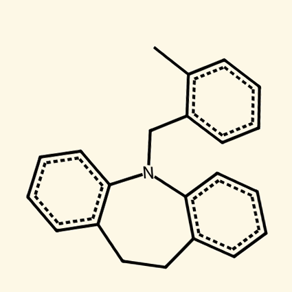 Cc1ccccc1CN1c2ccccc2CCc2ccccc21